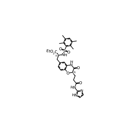 CCOC(=O)[C@H](Cc1ccc2c(c1)NC(=O)[C@@H](CCC(=O)Nc1ncc[nH]1)O2)NS(=O)(=O)c1c(C)c(C)cc(C)c1C